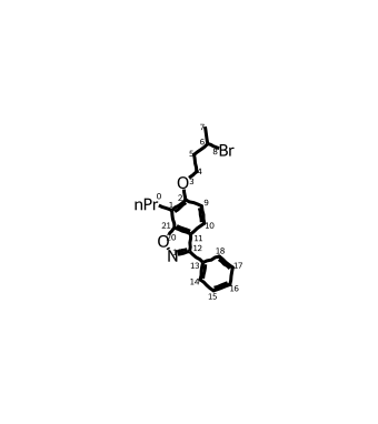 CCCc1c(OCCC(C)Br)ccc2c(-c3ccccc3)noc12